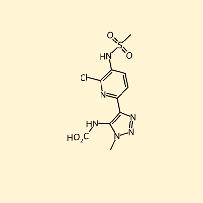 Cn1nnc(-c2ccc(NS(C)(=O)=O)c(Cl)n2)c1NC(=O)O